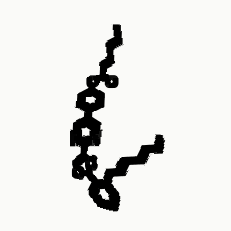 CCCCCCCc1ccccc1C1OC=C(c2ncc(-c3ccc(OC(=O)CCCCC)cc3)cn2)O1